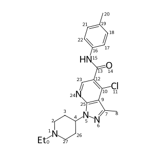 CCN1CCC(n2nc(C)c3c(Cl)c(C(=O)Nc4ccc(C)cc4)cnc32)CC1